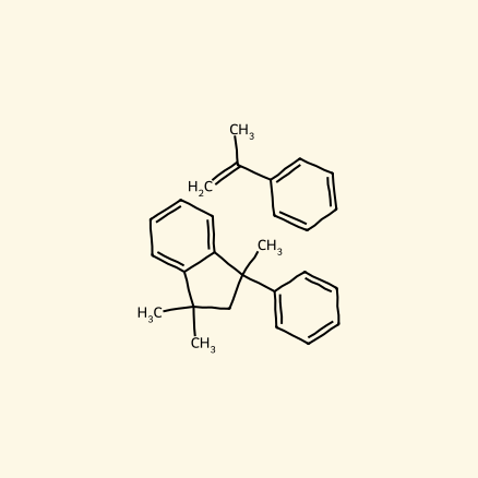 C=C(C)c1ccccc1.CC1(C)CC(C)(c2ccccc2)c2ccccc21